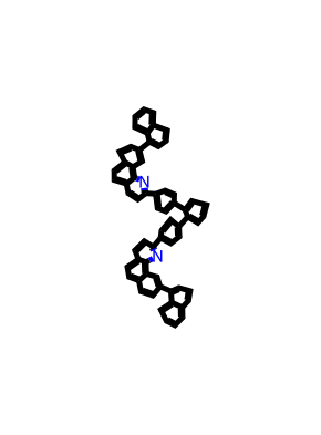 c1ccc(-c2ccc(-c3ccc4ccc5ccc(-c6cccc7ccccc67)cc5c4n3)cc2)c(-c2ccc(-c3ccc4ccc5ccc(-c6cccc7ccccc67)cc5c4n3)cc2)c1